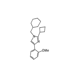 COc1ccccc1-c1cn(CC2CCCCC2)c(C2CCC2)n1